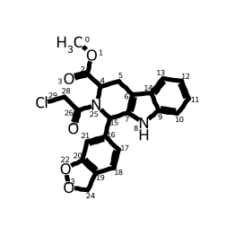 COC(=O)C1Cc2c([nH]c3ccccc23)C(c2ccc3c(c2)OOC3)N1C(=O)CCl